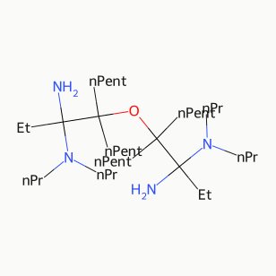 CCCCCC(CCCCC)(OC(CCCCC)(CCCCC)C(N)(CC)N(CCC)CCC)C(N)(CC)N(CCC)CCC